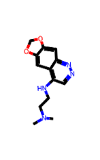 CN(C)CCNc1cnnc2cc3c(cc12)OCO3